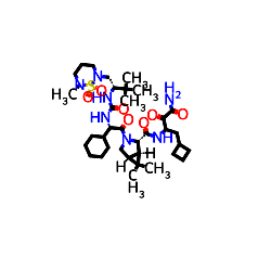 CN1CCCN(C[C@@H](NC(=O)N[C@H](C(=O)N2C[C@H]3[C@@H]([C@H]2C(=O)NC(CC2CCC2)C(=O)C(N)=O)C3(C)C)C2CCCCC2)C(C)(C)C)S1(=O)=O